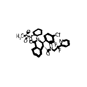 CS(=O)(=O)N[C@H]1CCCC[C@@H]1N1C(=O)c2ccccc2[C@@H](C(=O)NCC(F)(F)c2ccccn2)[C@@H]1c1ccc(Cl)cc1